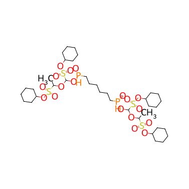 CC(OC(O[PH](=O)CCCCCC[PH](=O)OC(OC(C)S(=O)(=O)OC1CCCCC1)S(=O)(=O)OC1CCCCC1)S(=O)(=O)OC1CCCCC1)S(=O)(=O)OC1CCCCC1